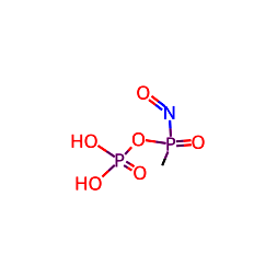 CP(=O)(N=O)OP(=O)(O)O